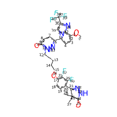 COc1ccc(-c2ccc(=O)n(CCCCOc3ccc(C4=NNC(=O)C4(C)C)c(F)c3F)n2)n2cc(C(F)(F)F)nc12